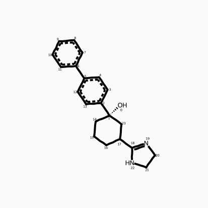 O[C@@]1(c2ccc(-c3ccccc3)cc2)CCCC(C2=NCCN2)C1